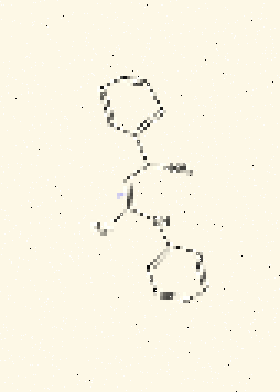 C/C(=C/C(N)c1ccccc1)Nc1ccccc1